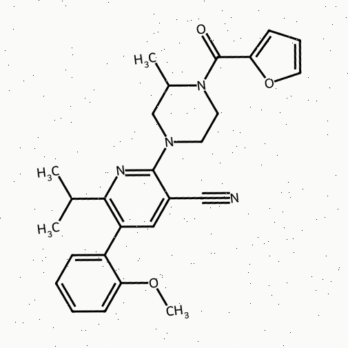 COc1ccccc1-c1cc(C#N)c(N2CCN(C(=O)c3ccco3)C(C)C2)nc1C(C)C